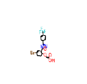 O=C(O)COc1ccc(Br)cc1-c1nc(-c2ccc(C(F)(F)F)cc2)no1